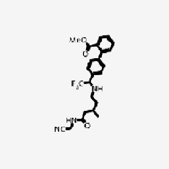 COC(=O)c1ccccc1-c1ccc(C(NCCC(C)CC(=O)NCC#N)C(F)(F)F)cc1